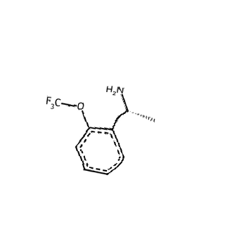 C[C@@H](N)c1ccccc1OC(F)(F)F